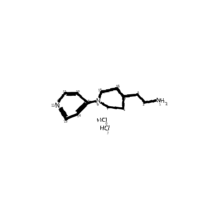 Cl.Cl.NCCC1CCN(c2ccncc2)CC1